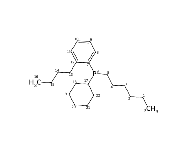 CCCCCCP(c1ccccc1CCCC)C1CCCCC1